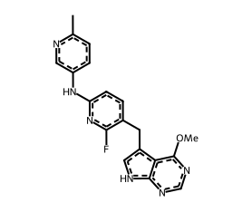 COc1ncnc2[nH]cc(Cc3ccc(Nc4ccc(C)nc4)nc3F)c12